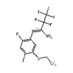 Cc1cc(F)c(/N=C(\N)C(F)(F)C(C)(F)F)cc1SCC(F)(F)F